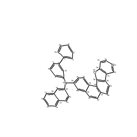 c1ccc(-c2cccc(N(c3ccc4ccccc4c3)c3ccc4c(ccc5ccc6c7cnccc7oc6c54)c3)c2)cc1